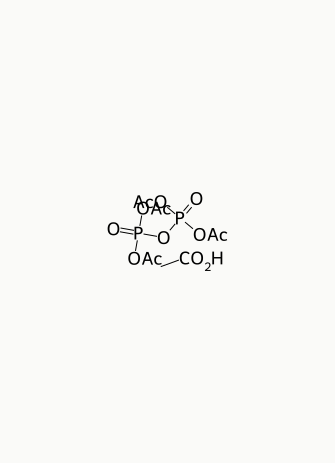 CC(=O)O.CC(=O)OP(=O)(OC(C)=O)OP(=O)(OC(C)=O)OC(C)=O